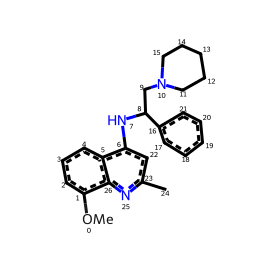 COc1cccc2c(NC(CN3CCCCC3)c3ccccc3)cc(C)nc12